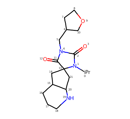 CC(C)N1C(=O)N(CC2CCOC2)C(=O)C12CC1CCCNC1C2